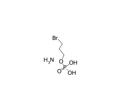 N.O=P(O)(O)OCCCBr